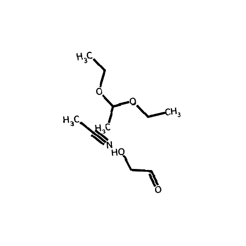 CC#N.CCOC(C)OCC.O=CCO